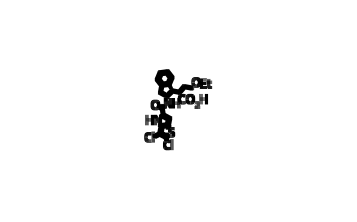 CCOCC[C@H](C(=O)O)[C@@H]1c2ccccc2C[C@H]1NC(=O)c1cc2sc(Cl)c(Cl)c2[nH]1